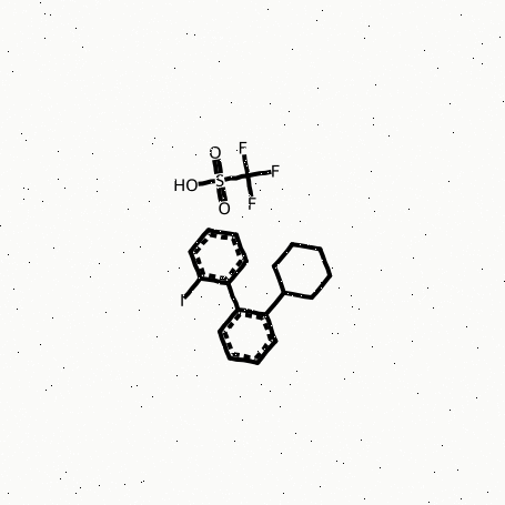 Ic1ccccc1-c1ccccc1C1CCCCC1.O=S(=O)(O)C(F)(F)F